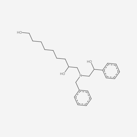 OCCCCCCCC(O)CN(Cc1ccccc1)CC(O)c1ccccc1